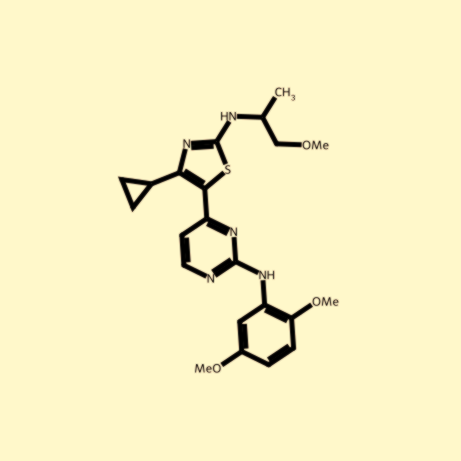 COCC(C)Nc1nc(C2CC2)c(-c2ccnc(Nc3cc(OC)ccc3OC)n2)s1